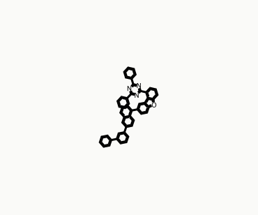 c1ccc(-c2cccc(-c3ccc4c(-c5ccc6oc7cccc(-c8nc(-c9ccccc9)nc(-c9ccccc9)n8)c7c6c5)cccc4c3)c2)cc1